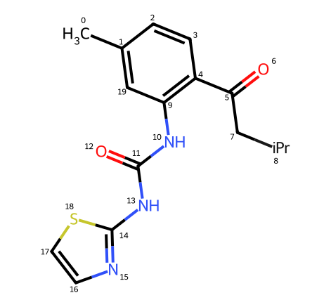 Cc1ccc(C(=O)CC(C)C)c(NC(=O)Nc2nccs2)c1